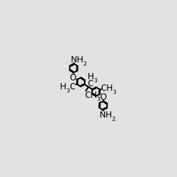 CCC(C)(c1ccc(Oc2ccc(N)cc2)c(C)c1)c1ccc(Oc2ccc(N)cc2)c(C)c1